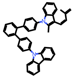 C=C(C)/C=C\c1c(C)n(-c2ccc(-c3ccccc3-c3ccc(-n4c5ccccc5c5ccccc54)cc3)cc2)c2ccccc12